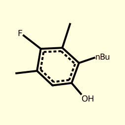 CCCCc1c(O)cc(C)c(F)c1C